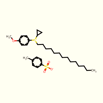 CCCCCCCCCCCCCC[S+](c1ccc(OC)cc1)C1CC1.Cc1ccc(S(=O)(=O)[O-])cc1